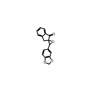 O=C1c2ccccc2CC12OC2c1ccc2c(c1)OCO2